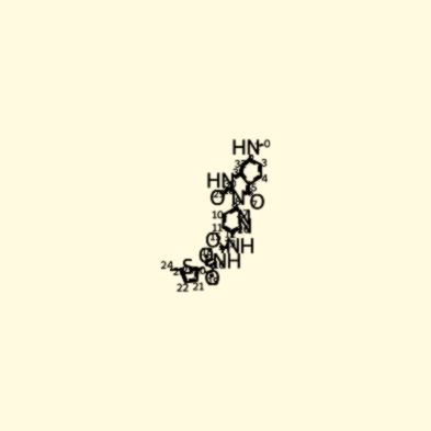 CNc1ccc2c(=O)n(-c3ccc(NC(=O)NS(=O)(=O)c4ccc(C)s4)nn3)c(=O)[nH]c2c1